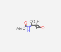 COC(=O)NC(C(=O)O)C1CC(=O)C1